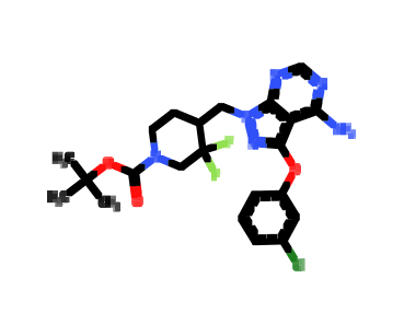 CC(C)(C)OC(=O)N1CCC(Cn2nc(Oc3cccc(Cl)c3)c3c(N)ncnc32)C(F)(F)C1